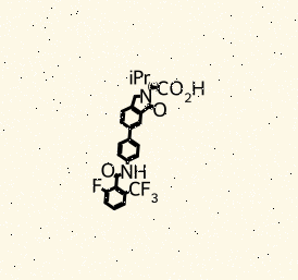 CC(C)[C@@H](C(=O)O)N1Cc2ccc(-c3ccc(NC(=O)c4c(F)cccc4C(F)(F)F)cc3)cc2C1=O